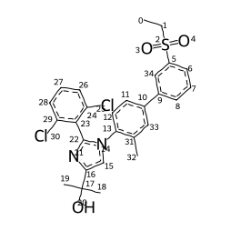 CCS(=O)(=O)c1cccc(-c2ccc(-n3cc(C(C)(C)O)nc3-c3c(Cl)cccc3Cl)c(C)c2)c1